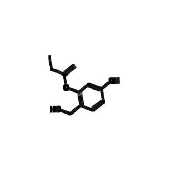 C=C(CC)Oc1cc(O)ccc1CO